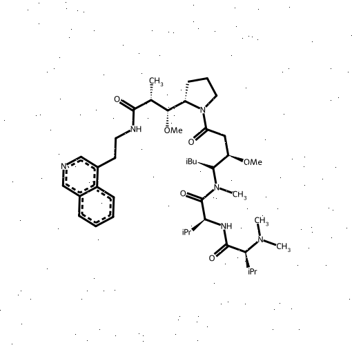 CC[C@H](C)C([C@@H](CC(=O)N1CCC[C@H]1[C@H](OC)[C@@H](C)C(=O)NCCc1cncc2ccccc12)OC)N(C)C(=O)[C@@H](NC(=O)[C@H](C(C)C)N(C)C)C(C)C